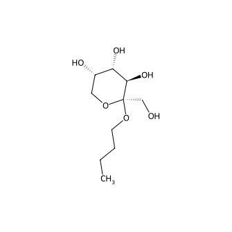 CCCCO[C@@]1(CO)OC[C@H](O)[C@H](O)[C@H]1O